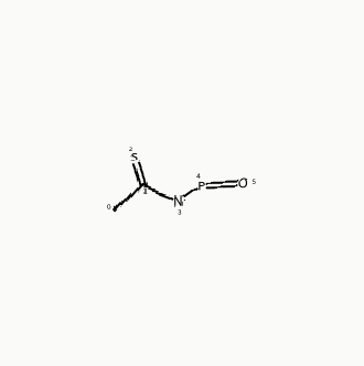 CC(=S)[N]P=O